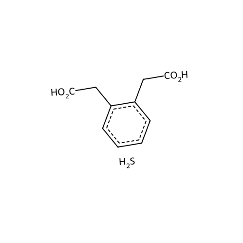 O=C(O)Cc1ccccc1CC(=O)O.S